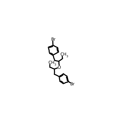 CCC(Cc1ccc(Br)cc1)OC(CC)Cc1ccc(Br)cc1